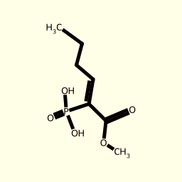 CCCC=C(C(=O)OC)P(=O)(O)O